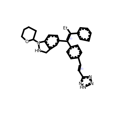 CC/C(=C(/c1ccc(/C=C/c2nn[nH]n2)cc1)c1ccc2c(c1)CNN2C1CCCCO1)c1ccccc1